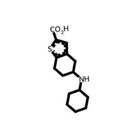 O=C(O)c1cc2c(s1)CCC(NC1CCCCC1)C2